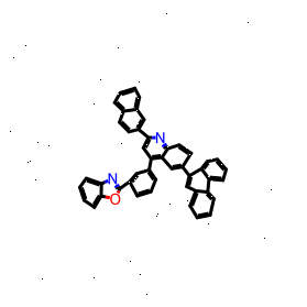 c1cc(-c2nc3ccccc3o2)cc(-c2cc(-c3ccc4ccccc4c3)nc3ccc(-c4cc5ccccc5c5ccccc45)cc23)c1